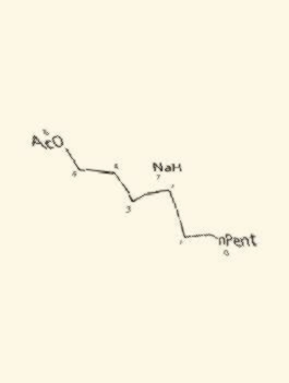 CCCCCCCCCCOC(C)=O.[NaH]